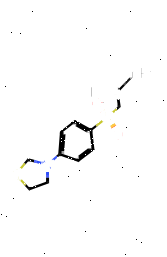 CCC[SiH2]CS(=O)(=O)c1ccc(N2CCSC2)cc1